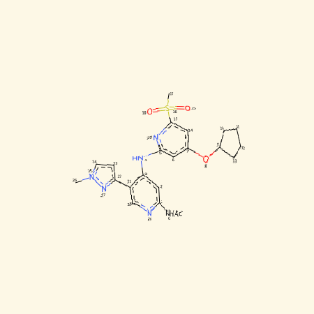 CC(=O)Nc1cc(Nc2cc(OC3CCCC3)cc(S(C)(=O)=O)n2)c(-c2ccn(C)n2)cn1